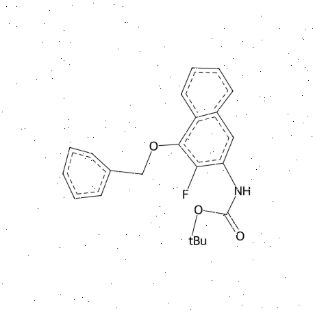 CC(C)(C)OC(=O)Nc1cc2ccccc2c(OCc2ccccc2)c1F